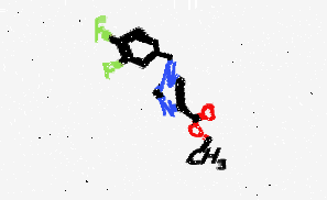 CCOC(=O)c1cn(Cc2ccc(F)c(F)c2)cn1